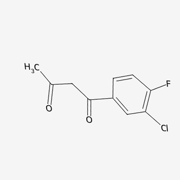 CC(=O)CC(=O)c1ccc(F)c(Cl)c1